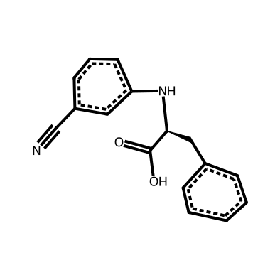 N#Cc1cccc(N[C@@H](Cc2ccccc2)C(=O)O)c1